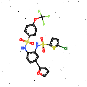 O=S(=O)(Nc1ccc(-c2ccco2)cc1NS(=O)(=O)c1ccc(Cl)s1)c1ccc(OC(F)(F)F)cc1